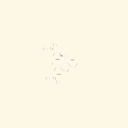 CCN(CC)c1ccc(C(c2ccccc2C)c2ccc(N(CC)CC)cc2F)c(F)c1